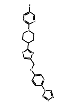 Fc1cnc(N2CCC(c3nc(COc4ccc(-n5cnnn5)nc4)cs3)CC2)nc1